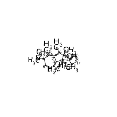 CC1=C2C(=CC=CC(=[Si](C)C)C2C)[C](C2=CC=CC2)([Hf]([CH3])[CH3])C1(C)C